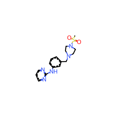 CS(=O)(=O)N1CCN(Cc2cccc(Nc3ncccn3)c2)CC1